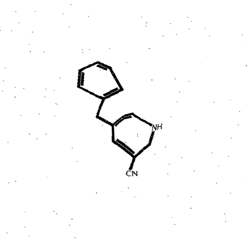 N#CC1=CC(Cc2ccccc2)=CNC1